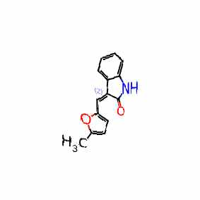 Cc1ccc(/C=C2\C(=O)Nc3ccccc32)o1